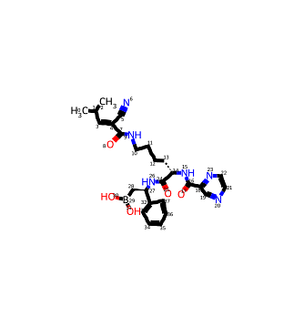 CC(C)C=C(C#N)C(=O)NCCCC[C@H](NC(=O)c1cnccn1)C(=O)N[C@H](CB(O)O)c1ccccc1